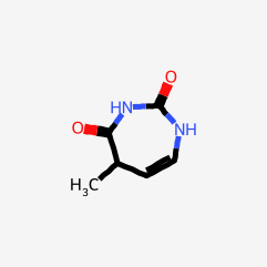 CC1C=CNC(=O)NC1=O